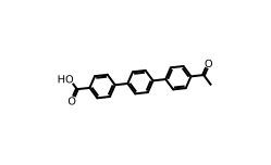 CC(=O)c1ccc(-c2ccc(-c3ccc(C(=O)O)cc3)cc2)cc1